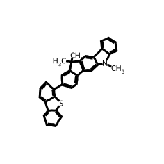 Cn1c2ccccc2c2cc3c(cc21)-c1ccc(-c2cccc4c2sc2ccccc24)cc1C3(C)C